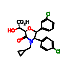 O=C(O)[C@@H](O)[C@@H]1O[C@@H](c2cccc(Cl)c2)[C@@H](c2ccc(Cl)cc2)N(CC2CC2)C1=O